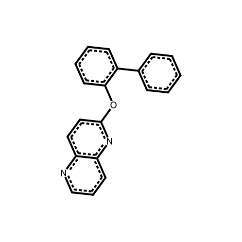 c1ccc(-c2ccccc2Oc2ccc3ncccc3n2)cc1